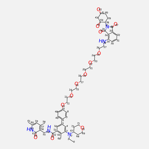 CCN(c1cc(-c2ccc(OCCOCCOCCOCCOCCOCCNc3cccc4c3C(=O)N(C3CCC(=O)CC3=O)C4=O)cc2)cc(C(=O)NCc2c(C)cc(C)[nH]c2=O)c1C)C1CCOCC1